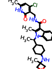 Cc1cc(Cl)c(CNC(=O)c2c(C)n([C@H](C)C3CCC(NC4(C)COC4)CC3)c3ccccc23)c(=O)[nH]1